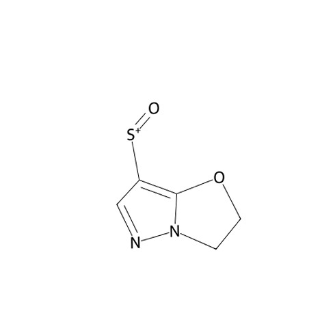 O=[S+]c1cnn2c1OCC2